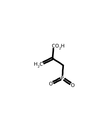 C=C(CP(=O)=O)C(=O)O